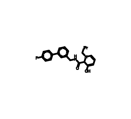 CC(C)CN1C=CC=C(O)C1C(=O)NCc1cccc(-c2ccc(F)cc2)c1